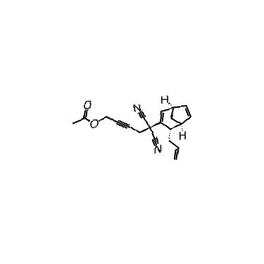 C=CC[C@@H]1C(C(C#N)(C#N)CC#CCOC(C)=O)=C[C@H]2C=C[C@@H]1C2